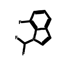 Fc1cccc2ccn(C(F)F)c12